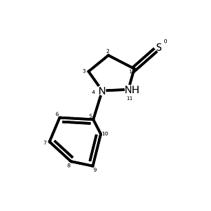 S=C1CCN(c2ccccc2)N1